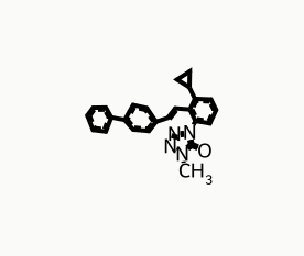 Cn1nnn(-c2cccc(C3CC3)c2C=Cc2ccc(-c3ccccc3)cc2)c1=O